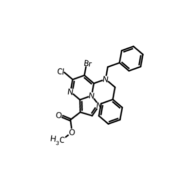 COC(=O)c1cnn2c(N(Cc3ccccc3)Cc3ccccc3)c(Br)c(Cl)nc12